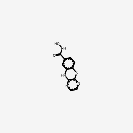 O=C(NO)c1ccc2c(c1)Nc1nccnc1S2